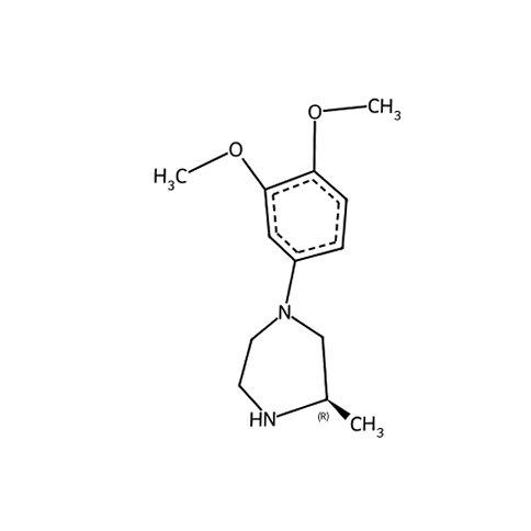 COc1ccc(N2CCN[C@H](C)C2)cc1OC